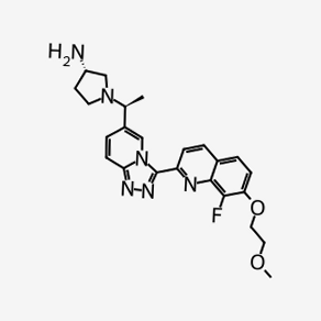 COCCOc1ccc2ccc(-c3nnc4ccc([C@H](C)N5CC[C@H](N)C5)cn34)nc2c1F